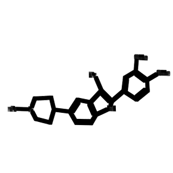 C[CH]CN1CCC(c2ccc3[nH]c(-c4ccc(OC)c(OC)c4)c(C(C)C)c3c2)CC1